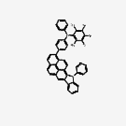 [2H]c1c([2H])c([2H])c(N(c2ccccc2)c2ccc(-c3ccc4ccc5cc6c7ccccc7n(-c7ccccc7)c6c6ccc3c4c56)cc2)c([2H])c1[2H]